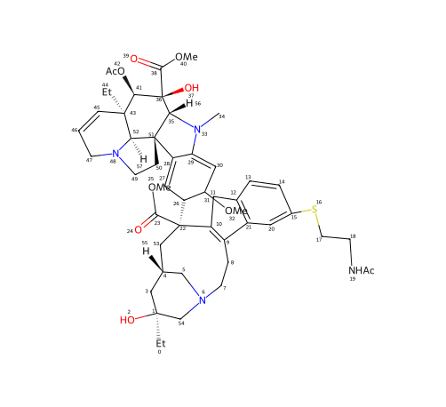 CC[C@]1(O)C[C@H]2CN(CCC3=C(Cc4ccc(SCCNC(C)=O)cc43)[C@@](C(=O)OC)(C3C=C4C(=CC3OC)N(C)[C@H]3[C@@](O)(C(=O)OC)[C@H](OC(C)=O)[C@]5(CC)C=CCN6CC[C@]43[C@@H]65)C2)C1